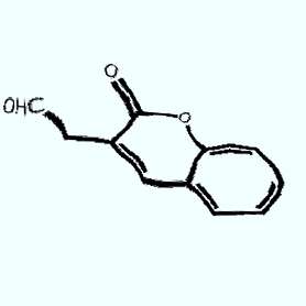 O=CCc1cc2ccccc2oc1=O